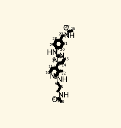 CC(=O)NCCCNc1nccc(-c2ccnc(Nc3ccc(CNC(C)=O)cc3)n2)c1C